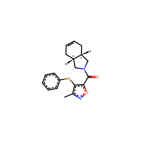 Cc1noc(C(=O)N2C[C@H]3CC=CC[C@H]3C2)c1Sc1ccccc1